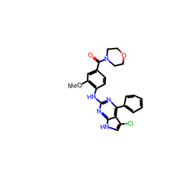 COc1cc(C(=O)N2CCOCC2)ccc1Nc1nc(-c2ccccc2)c2c(Cl)c[nH]c2n1